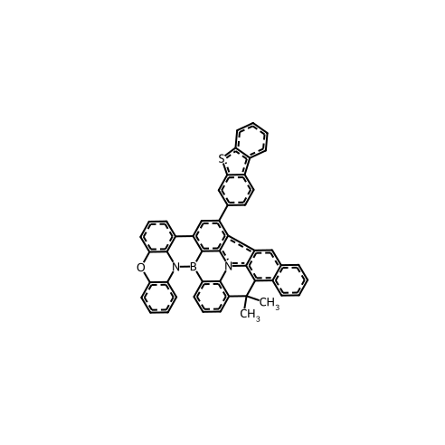 CC1(C)c2cccc3c2-n2c4c1c1ccccc1cc4c1c(-c4ccc5c(c4)sc4ccccc45)cc4c(c12)B3N1c2ccccc2Oc2cccc-4c21